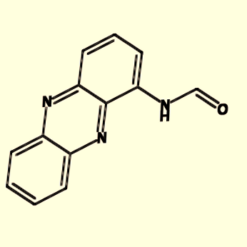 O=CNc1cccc2nc3ccccc3nc12